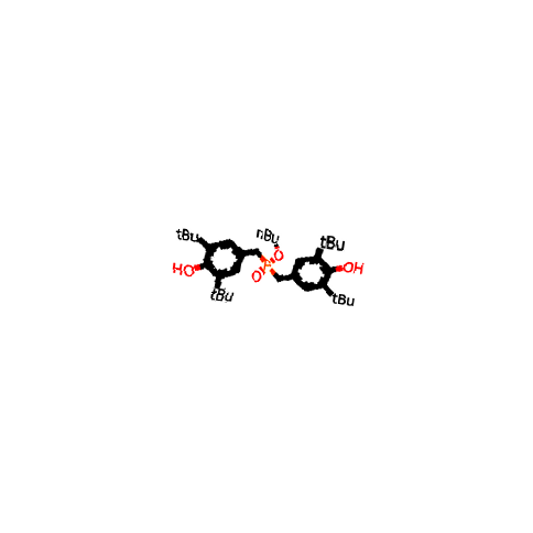 CCCCOP(=O)(Cc1cc(C(C)(C)C)c(O)c(C(C)(C)C)c1)Cc1cc(C(C)(C)C)c(O)c(C(C)(C)C)c1